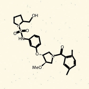 CO[C@@H]1CN(C(=O)c2cc(C)ccc2C)C[C@H]1Oc1cccc(NS(=O)(=O)N2CCCC2CO)c1